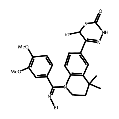 CC/N=C(/c1ccc(OC)c(OC)c1)N1CCC(C)(C)c2cc(C3=NNC(=O)SC3CC)ccc21